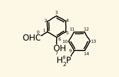 O=Cc1ccccc1O.Pc1ccccc1